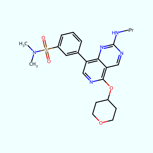 CC(C)Nc1ncc2c(OC3CCOCC3)ncc(-c3cccc(S(=O)(=O)N(C)C)c3)c2n1